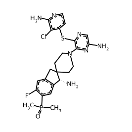 CP(C)(=O)c1cc2c(cc1F)CC1(CCN(c3nc(N)cnc3Sc3ccnc(N)c3Cl)CC1)[C@@H]2N